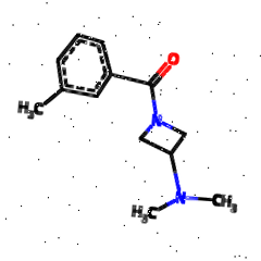 Cc1cccc(C(=O)N2CC(N(C)C)C2)c1